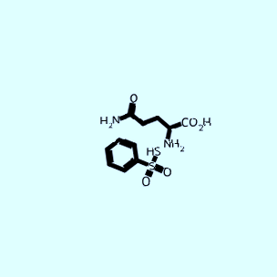 NC(=O)CCC(N)C(=O)O.O=S(=O)(S)c1ccccc1